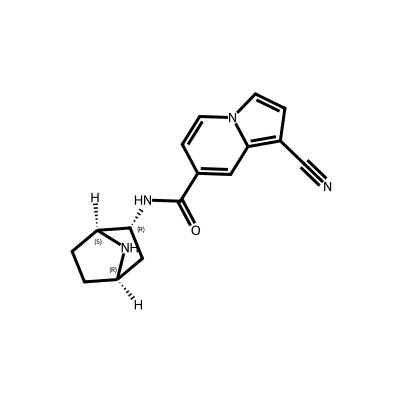 N#Cc1ccn2ccc(C(=O)N[C@@H]3C[C@H]4CC[C@@H]3N4)cc12